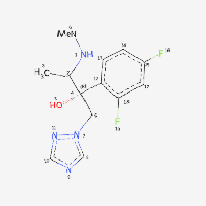 CNNC(C)[C@](O)(Cn1cncn1)c1ccc(F)cc1F